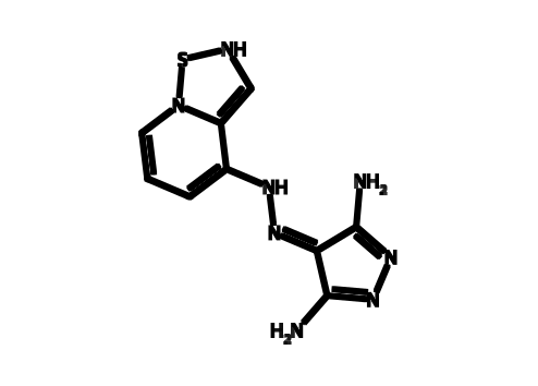 NC1=NN=C(N)C1=NNC1=CC=CN2SNC=C12